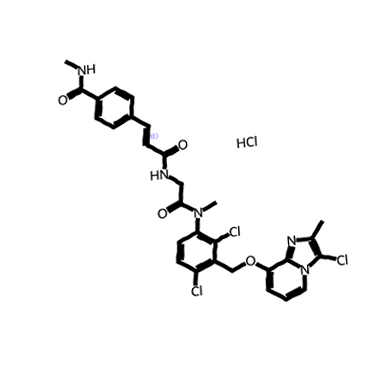 CNC(=O)c1ccc(/C=C/C(=O)NCC(=O)N(C)c2ccc(Cl)c(COc3cccn4c(Cl)c(C)nc34)c2Cl)cc1.Cl